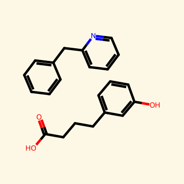 O=C(O)CCCc1cccc(O)c1.c1ccc(Cc2ccccn2)cc1